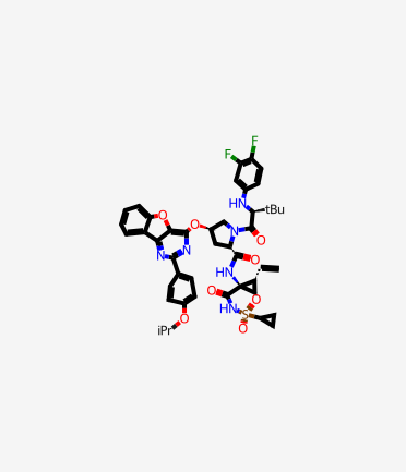 C=C[C@@H]1C[C@]1(NC(=O)[C@@H]1C[C@@H](Oc2nc(-c3ccc(OC(C)C)cc3)nc3c2oc2ccccc23)CN1C(=O)[C@@H](Nc1ccc(F)c(F)c1)C(C)(C)C)C(=O)NS(=O)(=O)C1CC1